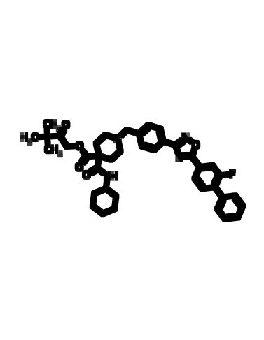 CC(C)(C)C(=O)COC(=O)C1(C(=O)NC2CCCCC2)CCN(Cc2ccc(-c3noc(-c4ccc(-c5ccccc5)c(F)c4)n3)cc2)CC1